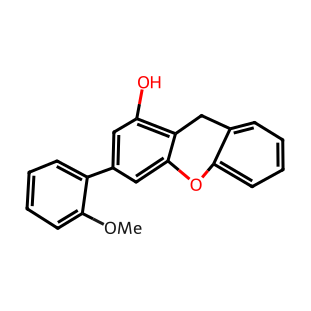 COc1ccccc1-c1cc(O)c2c(c1)Oc1ccccc1C2